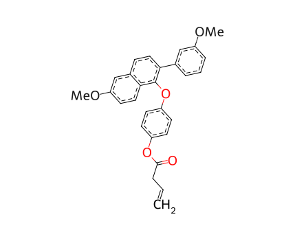 C=CCC(=O)Oc1ccc(Oc2c(-c3cccc(OC)c3)ccc3cc(OC)ccc23)cc1